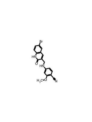 COc1cc(NCc2cc3cc(Br)ccc3[nH]c2=O)ccc1C#N